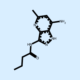 CCCC(=O)Nc1n[nH]c2c(N)cc(C)nc12